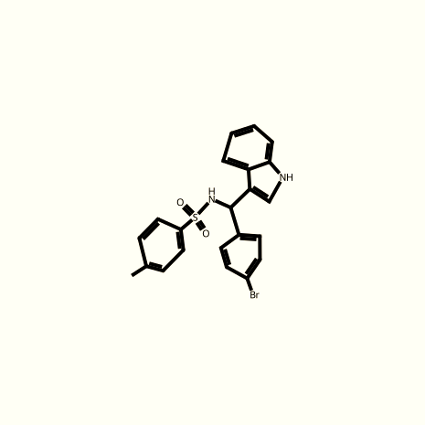 Cc1ccc(S(=O)(=O)NC(c2ccc(Br)cc2)c2c[nH]c3ccccc23)cc1